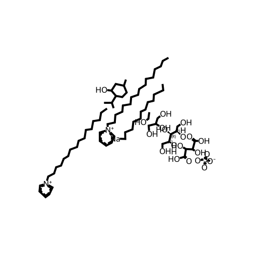 CC1CCC(C(C)C)C(O)C1.CCCCCCCCCCCCCCCC[n+]1ccccc1.CCCCCCCCCCCCCCCC[n+]1ccccc1.CCCCCCCCCCC[CH2][Na].CCO.O=C(O)C(O)C(O)C(=O)O.O=S(=O)([O-])[O-].OCC(O)CO.OC[C@@H](O)[C@H](O)[C@@H](O)CO